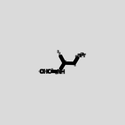 CCCCC(I)N[C]=O